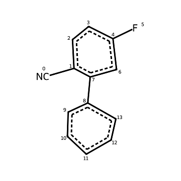 N#Cc1ccc(F)cc1-c1ccccc1